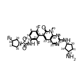 Cn1c(=O)c(-c2c(F)ccc(NS(=O)(=O)N3CC[C@@H](F)C3)c2F)cc2cnc(N[C@@H]3CC[C@@H](N)C3)nc21